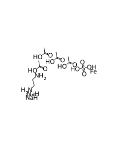 CC(=O)O.CC(=O)O.CC(=O)O.CC(=O)O.NCCN.O=S(=O)(O)O.[Fe].[NaH].[NaH]